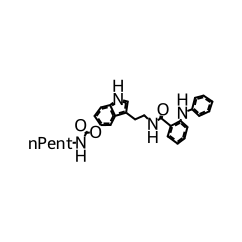 CCCCCNC(=O)Oc1ccc2[nH]cc(CCNC(=O)c3ccccc3Nc3ccccc3)c2c1